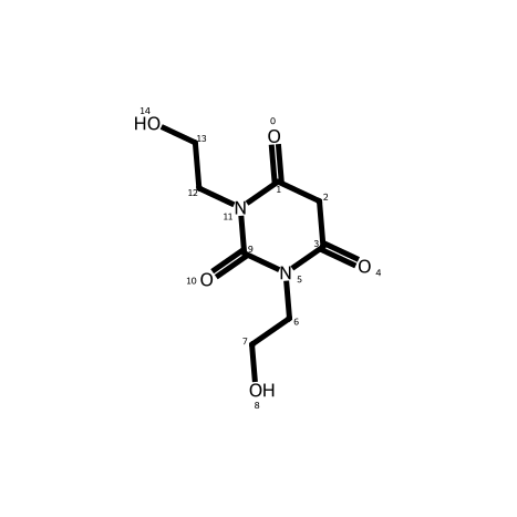 O=C1CC(=O)N(CCO)C(=O)N1CCO